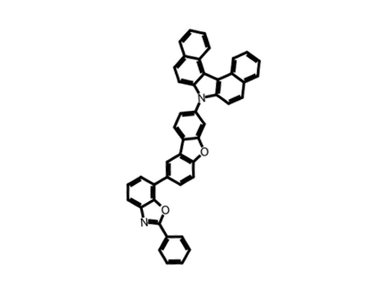 c1ccc(-c2nc3cccc(-c4ccc5oc6cc(-n7c8ccc9ccccc9c8c8c9ccccc9ccc87)ccc6c5c4)c3o2)cc1